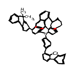 CC1(C)c2ccccc2-c2ccc(-c3ccc(N(c4ccc(-c5cccc6c5oc5ccccc56)cc4)c4ccccc4-c4cccc5cccc(C6CCCCC6)c45)cc3)cc21